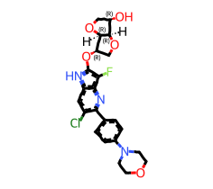 O[C@@H]1CO[C@H]2[C@@H]1OC[C@H]2Oc1[nH]c2cc(Cl)c(-c3ccc(N4CCOCC4)cc3)nc2c1F